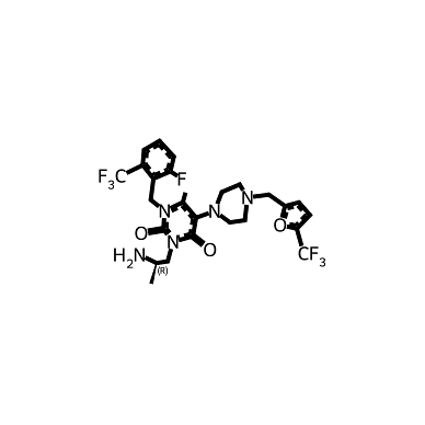 Cc1c(N2CCN(Cc3ccc(C(F)(F)F)o3)CC2)c(=O)n(C[C@@H](C)N)c(=O)n1Cc1c(F)cccc1C(F)(F)F